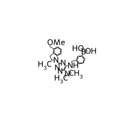 COCc1cccc2c1CC(C)N2c1nnc(N(C)C)c(NCc2cccc(B(O)O)c2)n1